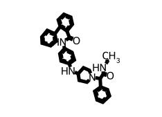 CCNC(=O)C(c1ccccc1)N1CCC(Nc2ccc(NC(=O)c3ccccc3-c3ccccc3)cc2)CC1